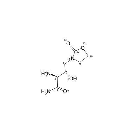 NC(=O)[C@@H](N)[C@@H](O)CN1CCOC1=O